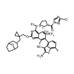 CCN(c1nc(OCC2(CN3CC4CCC(C3)O4)CC2)nc2c(F)c(-c3ccc(F)c4sc(N)c(C#N)c34)c(C(F)(F)F)cc12)[C@@H]1CCN(C(=O)n2cnc(Cl)n2)[C@@H]1C